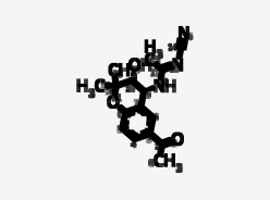 CC(=O)c1ccc2c(c1)[C@H](N/C(C)=N/C#N)[C@@H](O)C(C)(C)O2